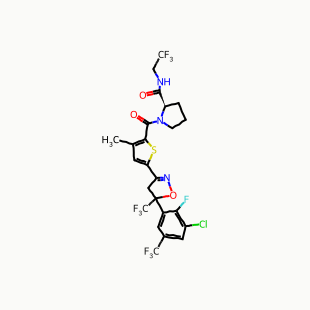 Cc1cc(C2=NOC(c3cc(C(F)(F)F)cc(Cl)c3F)(C(F)(F)F)C2)sc1C(=O)N1CCC[C@@H]1C(=O)NCC(F)(F)F